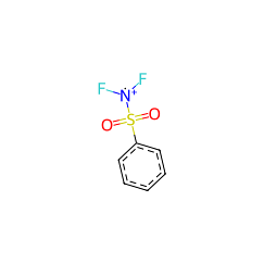 O=S(=O)(c1ccccc1)[N+](F)F